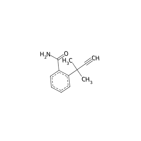 C#CC(C)(C)c1ccccc1C(N)=O